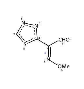 CO/N=C(\[C]=O)c1nncs1